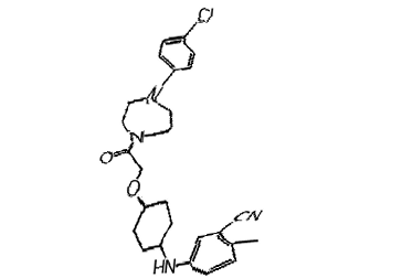 Cc1ccc(NC2CCC(OCC(=O)N3CCN(c4ccc(Cl)cc4)CC3)CC2)cc1C#N